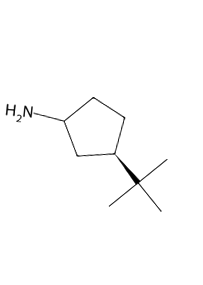 CC(C)(C)[C@@H]1CCC(N)C1